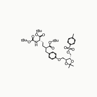 Cc1ccc(S(=O)(=O)OC[C@@H]2OC(C)(C)O[C@H]2COc2ccc(CC(CC[C@H](NC(=O)OC(C)(C)C)C(=O)OC(C)(C)C)C(=O)OC(C)(C)C)cc2)cc1